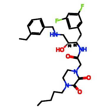 CCCCCN1CCN(CC(=O)N[C@@H](Cc2cc(F)cc(F)c2)[C@H](O)CNCc2cccc(CC)c2)C(=O)C1=O